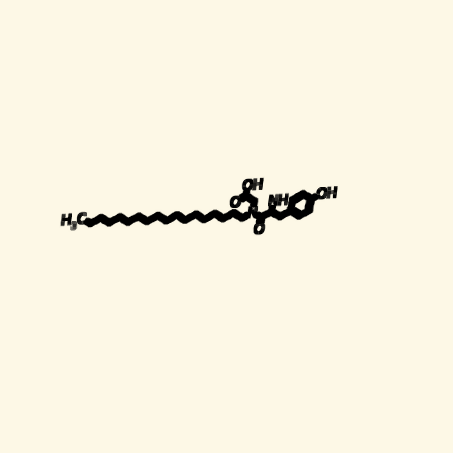 CCCCCCCCCCCCCCCCCCN(CC(=O)O)C(=O)C(N)Cc1ccc(O)cc1